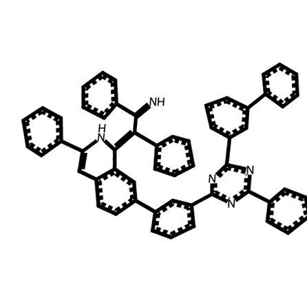 N=C(/C(=C1\NC(c2ccccc2)=Cc2ccc(-c3cccc(-c4nc(-c5ccccc5)nc(-c5cccc(-c6ccccc6)c5)n4)c3)cc21)c1ccccc1)c1ccccc1